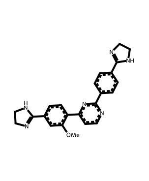 COc1cc(C2=NCCN2)ccc1-c1ccnc(-c2ccc(C3=NCCN3)cc2)n1